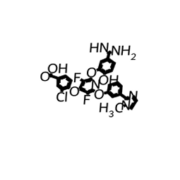 Cn1ccnc1-c1cccc(Oc2nc(Oc3cc(C(=N)N)ccc3O)c(F)c(Oc3ccc(C(=O)O)cc3Cl)c2F)c1